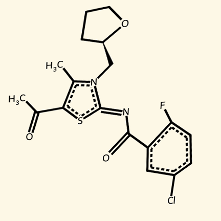 CC(=O)c1s/c(=N\C(=O)c2cc(Cl)ccc2F)n(C[C@H]2CCCO2)c1C